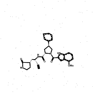 C#C[C@H](C[C@@H]1CCNC1=O)NC(=O)[C@@H]1C[C@@H](c2ccccc2)CN1C(=O)c1cc2c(OC)cccc2[nH]1